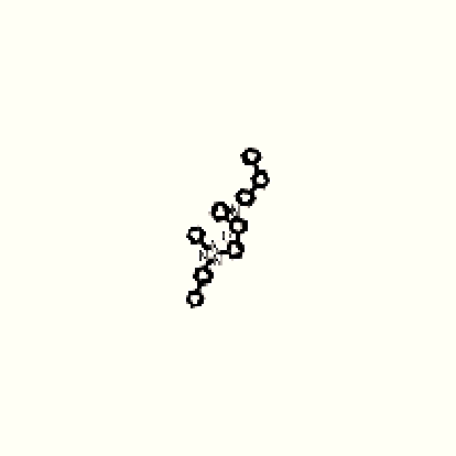 C1=CC2c3cccc(-c4nc(-c5ccccc5)nc(-c5ccc(-c6ccccc6)cc5)n4)c3OC2c2c1n(-c1ccc(-c3cccc(-c4ccccc4)c3)cc1)c1ccccc21